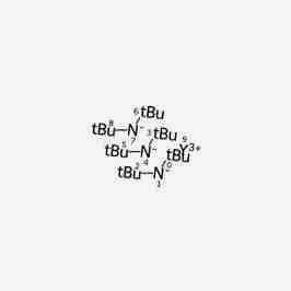 CC(C)(C)[N-]C(C)(C)C.CC(C)(C)[N-]C(C)(C)C.CC(C)(C)[N-]C(C)(C)C.[Y+3]